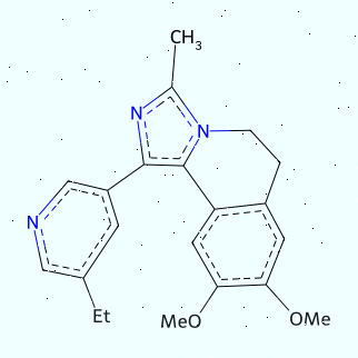 CCc1cncc(-c2nc(C)n3c2-c2cc(OC)c(OC)cc2CC3)c1